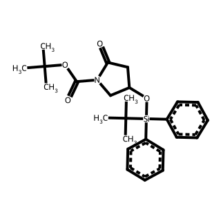 CC(C)(C)OC(=O)N1CC(O[Si](c2ccccc2)(c2ccccc2)C(C)(C)C)CC1=O